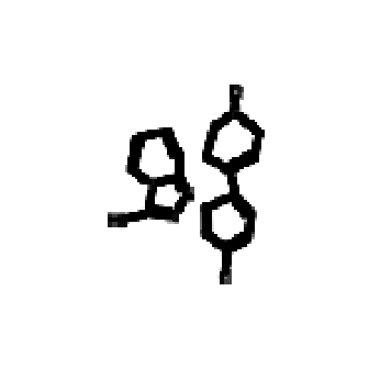 CCN1CC=C(c2ccc(Cl)cc2)CC1.Sc1nnc2ccccn12